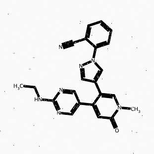 CCNc1ncc(-c2cc(=O)n(C)cc2-c2cnn(-c3ccccc3C#N)c2)cn1